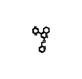 c1ccc(COc2cc(-c3cnccn3)c3c(n2)CCCC3)nc1